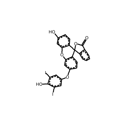 O=C1OC2(c3ccc(O)cc3Oc3cc(Oc4cc(I)c(O)c(I)c4)ccc32)c2ccccc21